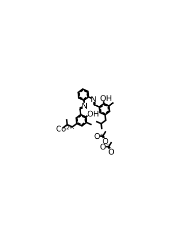 CC(=O)[O-].CC(=O)[O-].Cc1cc(CC(C)C)cc(C=Nc2ccccc2N=Cc2cc(CC(C)C)cc(C)c2O)c1O.[Co+2]